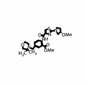 COC(=O)c1cc(CN2CCOCC2(C)C)ccc1NC(=O)c1csc(N2CC[C@H](OC)C2)n1